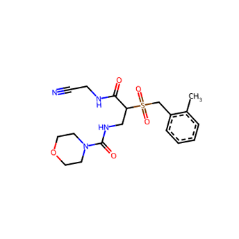 Cc1ccccc1CS(=O)(=O)C(CNC(=O)N1CCOCC1)C(=O)NCC#N